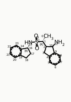 C[C@H](C1Cc2ccccc2C1N)S(=O)(=O)N[C@@H]1CCc2ccccc21